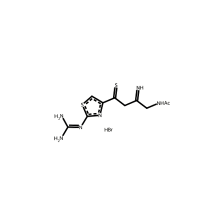 Br.CC(=O)NCC(=N)CC(=S)c1csc(N=C(N)N)n1